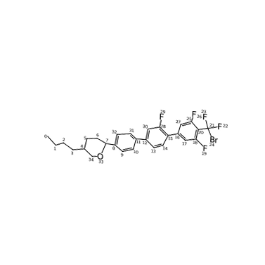 CCCCC1CCC(c2ccc(-c3ccc(-c4cc(F)c(C(F)(F)Br)c(F)c4)c(F)c3)cc2)OC1